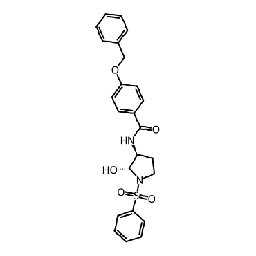 O=C(N[C@H]1CCN(S(=O)(=O)c2ccccc2)[C@@H]1O)c1ccc(OCc2ccccc2)cc1